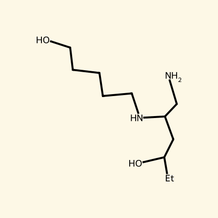 CCC(O)CC(CN)NCCCCCO